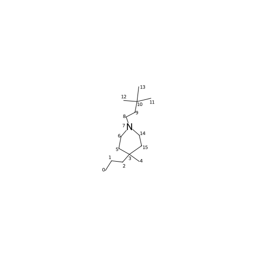 CCCC1(C)CCN(CCC(C)(C)C)CC1